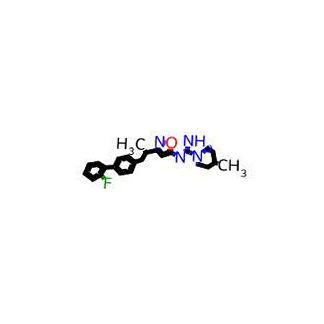 CC1CCN(C(N)=Nc2cc(C(C)Cc3ccc(-c4ccccc4F)cc3)no2)CC1